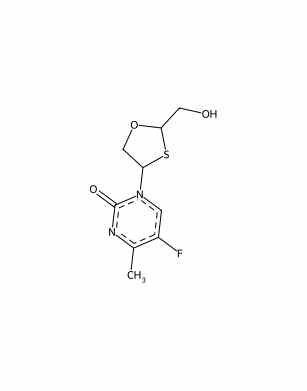 Cc1nc(=O)n(C2COC(CO)S2)cc1F